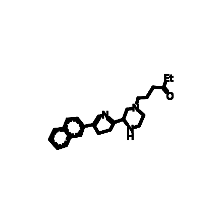 CCC(=O)CCCN1CCNC(C2=NC=C(c3ccc4ccccc4c3)CC2)C1